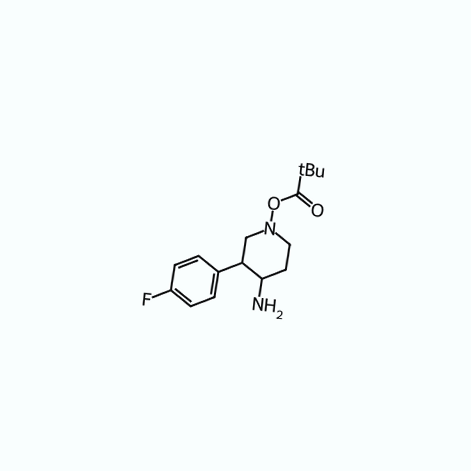 CC(C)(C)C(=O)ON1CCC(N)C(c2ccc(F)cc2)C1